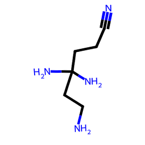 N#CCCC(N)(N)CCN